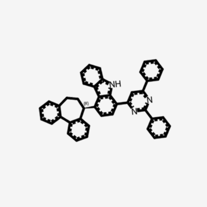 c1ccc(-c2cc(-c3ccc([C@@H]4CCc5ccccc5-c5ccccc54)c4c3[nH]c3ccccc34)nc(-c3ccccc3)n2)cc1